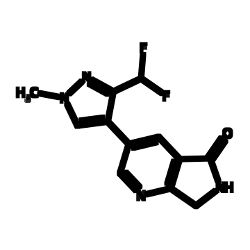 Cn1cc(-c2cnc3c(c2)C(=O)NC3)c(C(F)F)n1